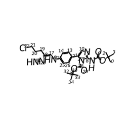 CC(C)(C)OC(=O)Nc1ncc(-c2ccc(N/C=C(/CCCCl)N=N)cc2)n1C(=O)OC(C)(C)C